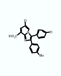 CCOC(=O)c1cc(Cl)cn2c(-c3ccc(Cl)cc3)c(-c3ccc(C(C)(C)C)cc3)nc12